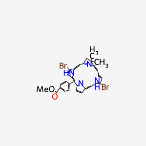 COC(=O)c1ccc(-c2c3nc(cc4[nH]c(cc5nc(cc6[nH]c2cc6Br)CC5(C)C)cc4Br)C=C3)cc1